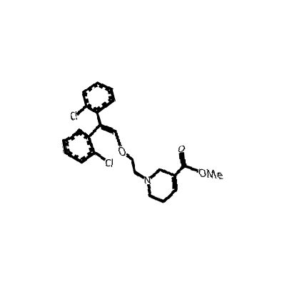 COC(=O)C1=CCCN(CCOC=C(c2ccccc2Cl)c2ccccc2Cl)C1